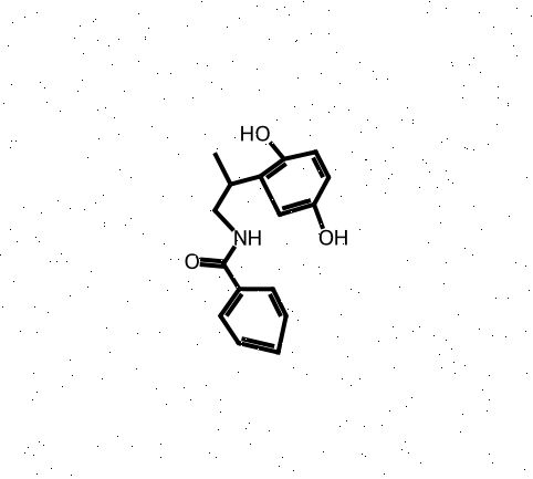 CC(CNC(=O)c1ccccc1)c1cc(O)ccc1O